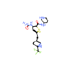 NC(=O)Nc1cc(C#Cc2ccc(C(F)(F)F)nc2)sc1C(=O)NC1CCCNC1